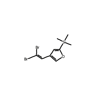 C[Si](C)(C)c1cc(C=C(Br)Br)co1